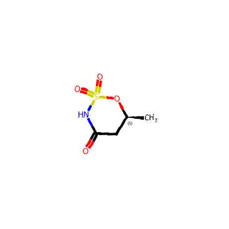 C[C@H]1CC(=O)NS(=O)(=O)O1